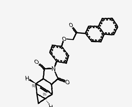 O=C(COc1ccc(N2C(=O)C3C(C2=O)[C@@H]2C=CC3[C@H]3CC23)cc1)c1ccc2ccccc2c1